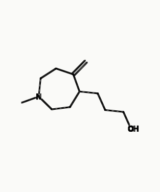 C=C1CCN(C)CCC1CCCO